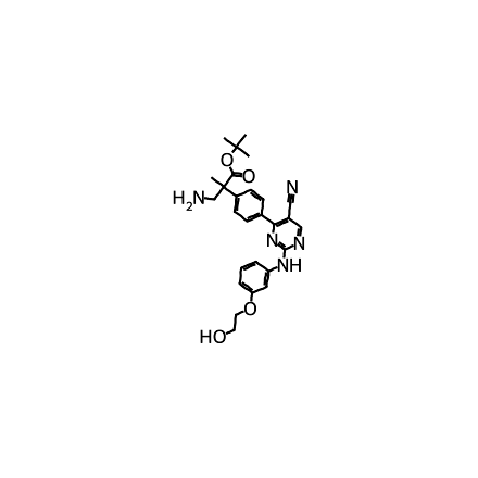 CC(C)(C)OC(=O)C(C)(CN)c1ccc(-c2nc(Nc3cccc(OCCO)c3)ncc2C#N)cc1